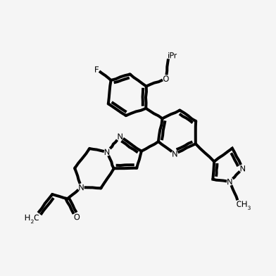 C=CC(=O)N1CCn2nc(-c3nc(-c4cnn(C)c4)ccc3-c3ccc(F)cc3OC(C)C)cc2C1